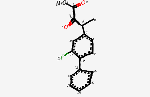 COC(=O)C(=O)C(C)c1ccc(-c2ccccc2)c(F)c1